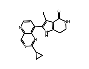 O=C1NCCc2[nH]c(-c3ccnc4cnc(C5CC5)nc34)c(I)c21